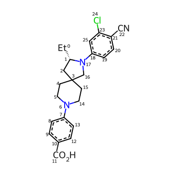 CC[C@H]1CC2(CCN(c3ccc(C(=O)O)cc3)CC2)CN1c1ccc(C#N)c(Cl)c1